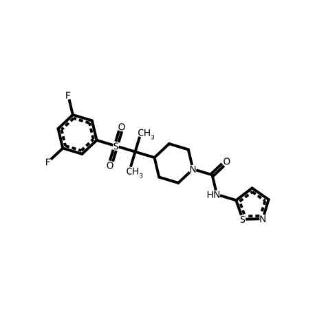 CC(C)(C1CCN(C(=O)Nc2ccns2)CC1)S(=O)(=O)c1cc(F)cc(F)c1